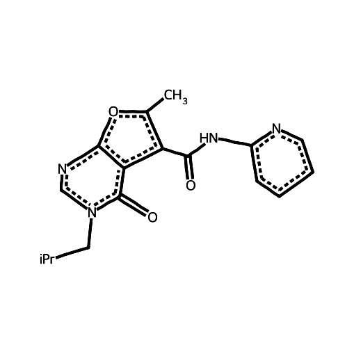 Cc1oc2ncn(CC(C)C)c(=O)c2c1C(=O)Nc1ccccn1